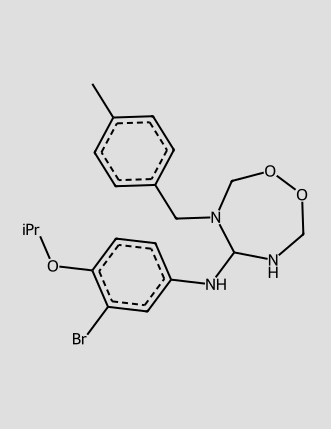 Cc1ccc(CN2COOCNC2Nc2ccc(OC(C)C)c(Br)c2)cc1